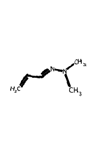 C=CC=NN(C)C